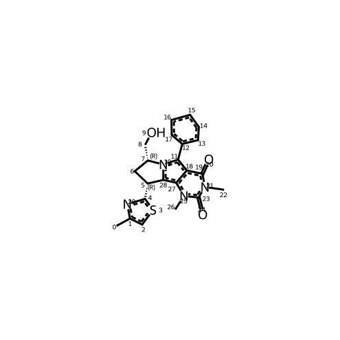 Cc1csc([C@@H]2C[C@H](CO)n3c(-c4ccccc4)c4c(=O)n(C)c(=O)n(C)c4c32)n1